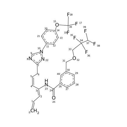 C=C/C=C(\C=C/Cc1ncn(-c2ccc(OC(F)(F)F)cc2)n1)NC(=O)c1cccc(COCC(F)(F)C(F)F)c1